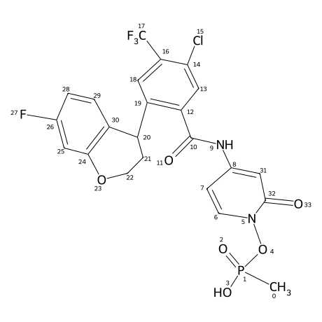 CP(=O)(O)On1ccc(NC(=O)c2cc(Cl)c(C(F)(F)F)cc2C2CCOc3cc(F)ccc32)cc1=O